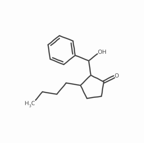 CCCCC1CCC(=O)C1C(O)c1ccccc1